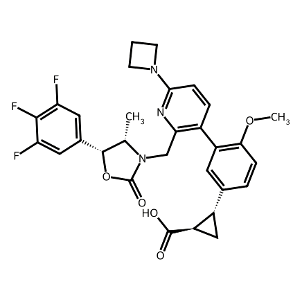 COc1ccc([C@@H]2C[C@H]2C(=O)O)cc1-c1ccc(N2CCC2)nc1CN1C(=O)O[C@H](c2cc(F)c(F)c(F)c2)[C@@H]1C